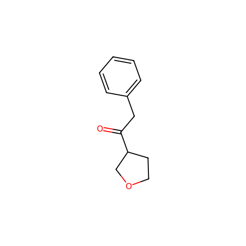 O=C(Cc1ccccc1)C1CCOC1